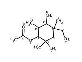 CCC1(C)CC(C)(C)C(OC(C)=O)C(C)C1C